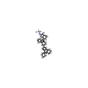 C=c1/c(=C\C=C/C)sc2c(-n3c4ccccc4c4cc(-c5ccc6c(c5)c5ccccc5n6-c5ccccc5)ccc43)cccc12